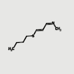 CCCCS/C=C/C=N\C